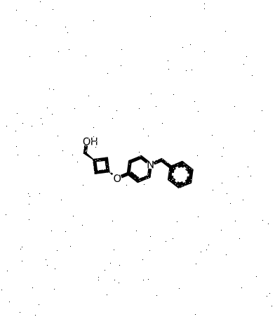 OC[C@H]1C[C@H](OC2=CCN(Cc3ccccc3)CC2)C1